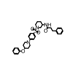 O=C(CCc1ccccc1)NC1CCCN(S(=O)(=O)c2ccc(N3CCC(Oc4ccccc4)CC3)cc2)C1